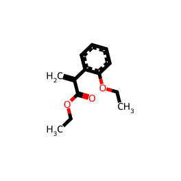 C=C(C(=O)OCC)c1ccccc1OCC